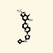 Cn1cc2cc(-c3ccc4nc(N5CC[C@@H](NC6CCC6)C5)ccc4n3)c(O)c(F)c2n1